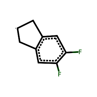 Fc1cc2c(cc1F)C[CH]C2